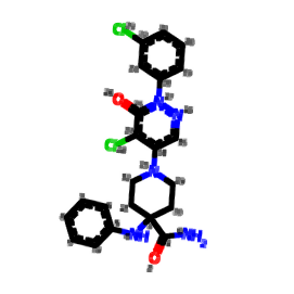 NC(=O)C1(Nc2ccccc2)CCN(c2cnn(-c3cccc(Cl)c3)c(=O)c2Cl)CC1